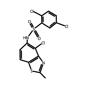 Cc1nc2c(Cl)c(NS(=O)(=O)c3cc(Cl)ccc3Cl)ccc2s1